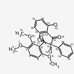 COc1ccc(OC)c(C(=O)P(=O)(C(=O)c2c(C)cccc2Cl)c2ccccc2)c1OC